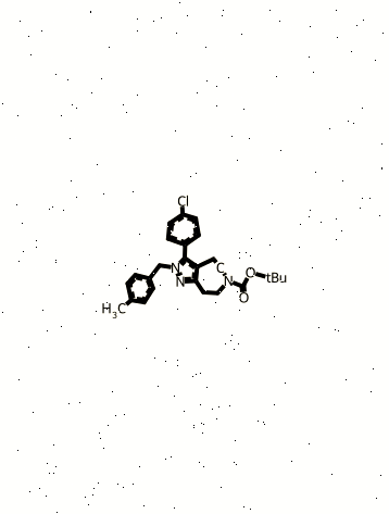 Cc1ccc(Cn2nc3c(c2-c2ccc(Cl)cc2)CCN(C(=O)OC(C)(C)C)CC3)cc1